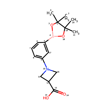 CC1(C)OB(c2cccc(N3CC(C(=O)O)C3)c2)OC1(C)C